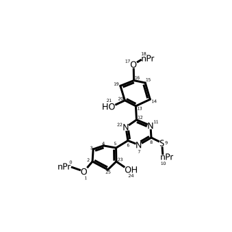 CCCOc1ccc(-c2nc(SCCC)nc(-c3ccc(OCCC)cc3O)n2)c(O)c1